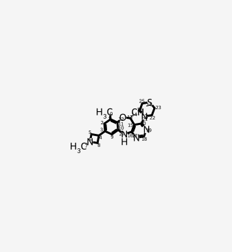 Cc1cc(C2CN(C)C2)cc2c1O[C@H](C)c1c(ncnc1N1CCSCC1)N2